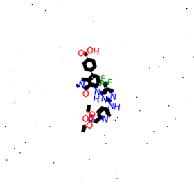 CCOP(=O)(Cc1ccc(Nc2ncc(C(F)(F)F)c(Nc3ccc([C@H]4CC[C@@H](C(=O)O)CC4)c4c3C(=O)N(C)C4)n2)cn1)OCC